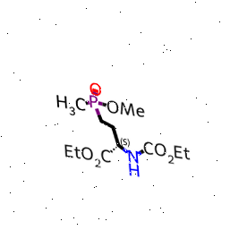 CCOC(=O)N[C@@H](CCP(C)(=O)OC)C(=O)OCC